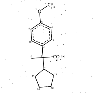 CC(C(=O)O)(c1ccc(OC(F)(F)F)cc1)C1CCCC1